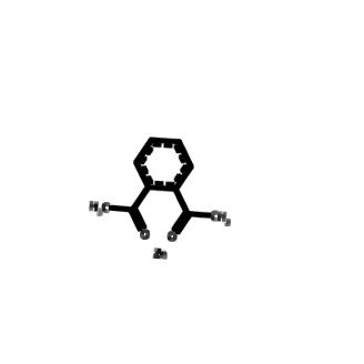 CC(=O)c1ccccc1C(C)=O.[Zn]